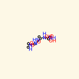 O=C(CCN1CCC(OC(=O)Nc2ccccc2-c2ccccc2)CC1)Nc1ccc(CCNCC(O)c2ccc(O)c3[nH]c(=O)ccc23)c2ccccc12